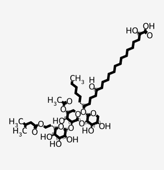 CCCCCC[C@H](CCC[C@H](O)CCCCCCCCCCCCC[C@@H](O)C(=O)O)O[C@H]1OC[C@H](O)[C@@H](O)[C@@H]1O[C@H]1OC[C@H](OC(C)=O)[C@@H](O)[C@@H]1O[C@H]1O[C@@H](CCOC(=O)CC(C)C)[C@H](O)[C@@H](O)[C@@H]1O